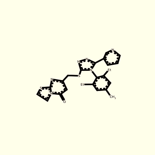 CCc1cc(C)cc(CC)c1-n1c(SCc2cc(=O)n3ccsc3n2)nnc1-c1cccnc1